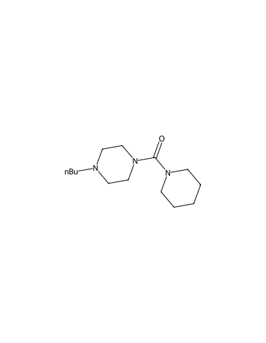 CCCCN1CCN(C(=O)N2CCCCC2)CC1